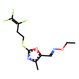 CCON=Cc1oc(SCCC(F)=C(F)F)nc1C